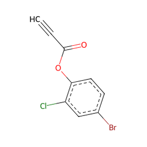 C#CC(=O)Oc1ccc(Br)cc1Cl